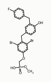 COP(=O)(O)COc1cc(Br)c(Cc2ccc(O)c(Cc3ccc(F)cc3)c2)c(Br)c1